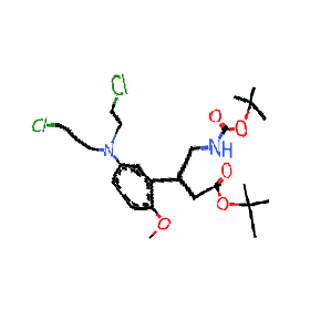 COc1ccc(N(CCCl)CCCl)cc1C(CNC(=O)OC(C)(C)C)CC(=O)OC(C)(C)C